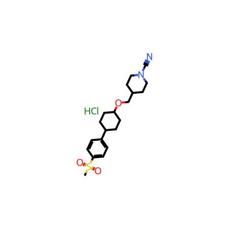 CS(=O)(=O)c1ccc(C2CCC(OCC3CCN(C#N)CC3)CC2)cc1.Cl